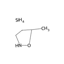 CC1CCNO1.[SiH4]